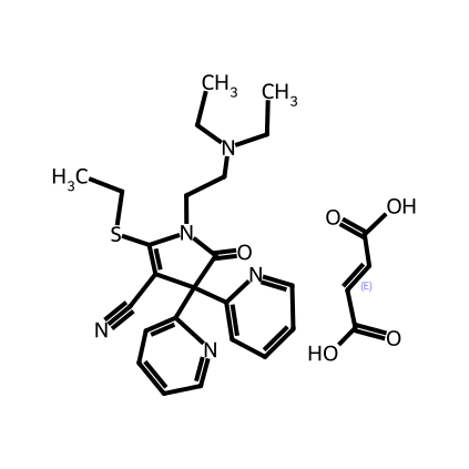 CCSC1=C(C#N)C(c2ccccn2)(c2ccccn2)C(=O)N1CCN(CC)CC.O=C(O)/C=C/C(=O)O